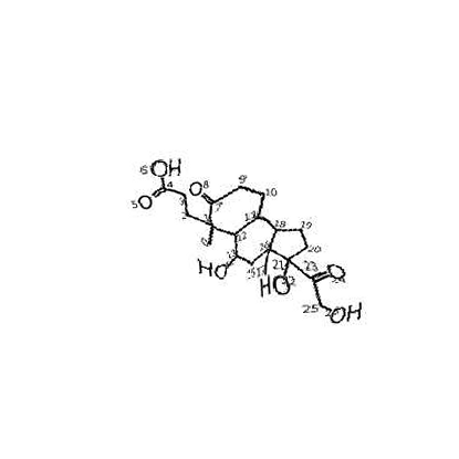 CC1(CCC(=O)O)C(=O)CCC2C1C(O)CC1(C)C2CCC1(O)C(=O)CO